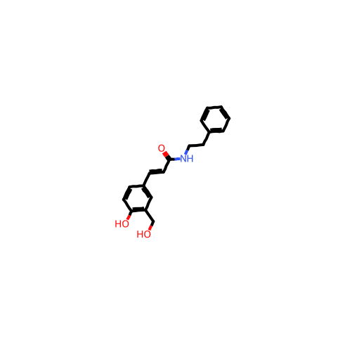 O=C(/C=C/c1ccc(O)c(CO)c1)NCCc1ccccc1